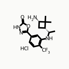 CC(Nc1cc(-c2n[nH]c(=O)o2)ccc1C(F)(F)F)[C@@H]1C[C@H](N)C1(C)C.Cl